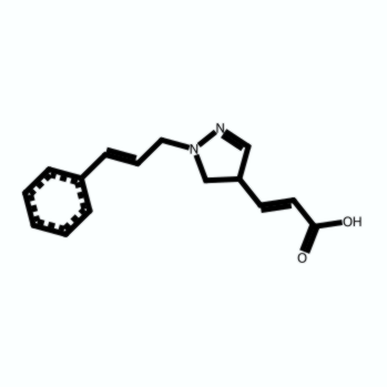 O=C(O)/C=C/C1C=NN(C/C=C/c2ccccc2)C1